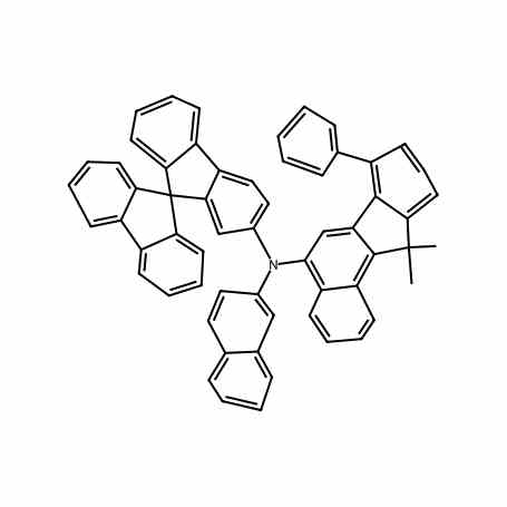 CC1(C)c2cccc(-c3ccccc3)c2-c2cc(N(c3ccc4c(c3)C3(c5ccccc5-c5ccccc53)c3ccccc3-4)c3ccc4ccccc4c3)c3ccccc3c21